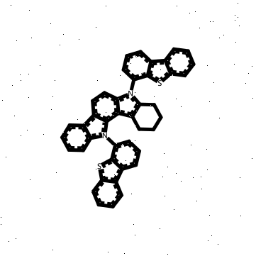 c1ccc2c(c1)sc1c(-n3c4c(c5c3ccc3c6ccccc6n(-c6cccc7c6sc6ccccc67)c35)CCCC4)cccc12